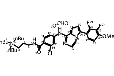 CCCC[N+](CCCC)(CCCC)CCCNC(=O)c1ccc(Nc2nccn3c(-c4ccc(OC)c(F)c4F)cnc23)cc1Cl.O=C[O-]